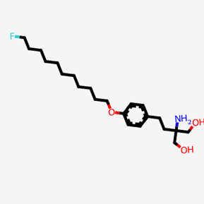 NC(CO)(CO)CCc1ccc(OCCCCCCCCCCCF)cc1